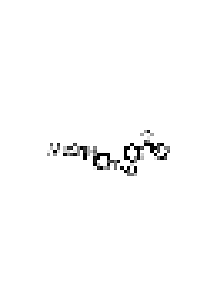 CSNCc1ccc(N2COc3cc(C(=O)N4CCCC4)ccc32)cc1